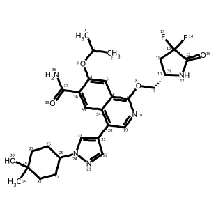 CC(C)Oc1cc2c(OC[C@@H]3CC(F)(F)C(=O)N3)ncc(-c3cnn(C4CCC(C)(O)CC4)c3)c2cc1C(N)=O